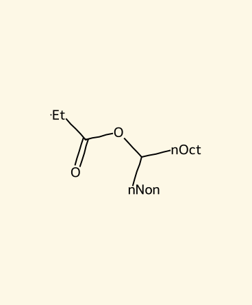 C[CH]C(=O)OC(CCCCCCCC)CCCCCCCCC